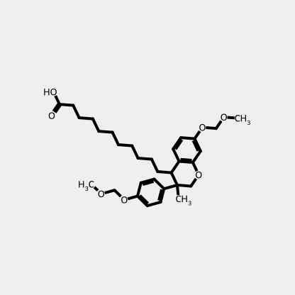 COCOc1ccc(C2(C)COc3cc(OCOC)ccc3C2CCCCCCCCCCC(=O)O)cc1